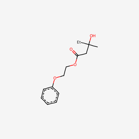 CCC(C)(O)CC(=O)OCCOc1ccccc1